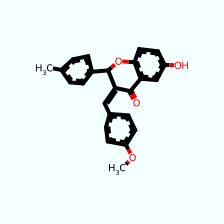 COc1ccc(C=C2C(=O)c3cc(O)ccc3OC2c2ccc(C)cc2)cc1